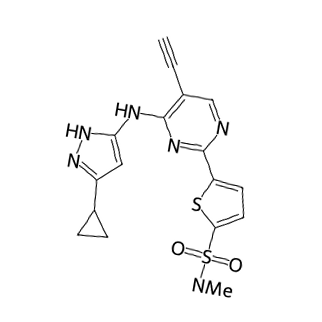 C#Cc1cnc(-c2ccc(S(=O)(=O)NC)s2)nc1Nc1cc(C2CC2)n[nH]1